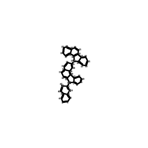 c1ccc2nc(-n3c4ccccc4c4c5cc(-n6c7ccccc7c7ccc8ccccc8c76)ccc5ccc43)ncc2c1